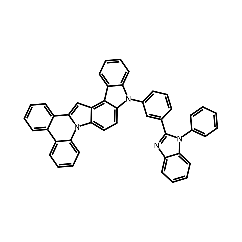 c1ccc(-n2c(-c3cccc(-n4c5ccccc5c5c6cc7c8ccccc8c8ccccc8n7c6ccc54)c3)nc3ccccc32)cc1